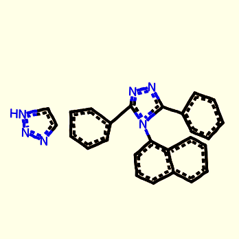 c1c[nH]nn1.c1ccc(-c2nnc(-c3ccccc3)n2-c2cccc3ccccc23)cc1